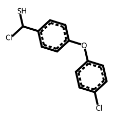 SC(Cl)c1ccc(Oc2ccc(Cl)cc2)cc1